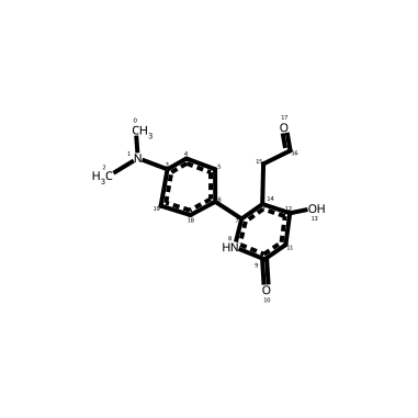 CN(C)c1ccc(-c2[nH]c(=O)cc(O)c2CC=O)cc1